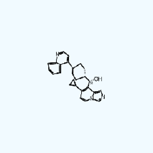 O[C@H](c1c(C2CC2)ccn2cncc12)[C@H]1CC[C@H](c2ccnc3ccccc32)CC1